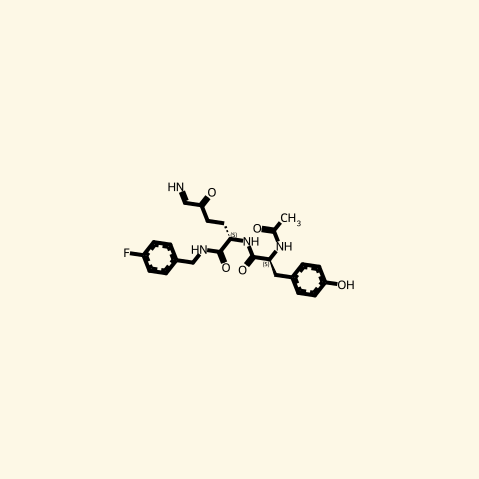 CC(=O)N[C@@H](Cc1ccc(O)cc1)C(=O)N[C@@H](CCC(=O)C=N)C(=O)NCc1ccc(F)cc1